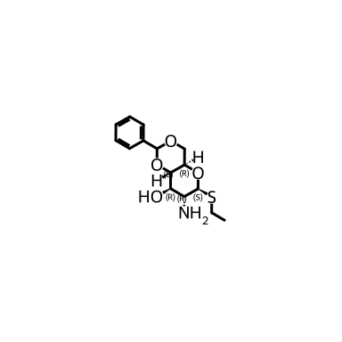 CCS[C@@H]1O[C@@H]2COC(c3ccccc3)O[C@H]2[C@H](O)[C@H]1N